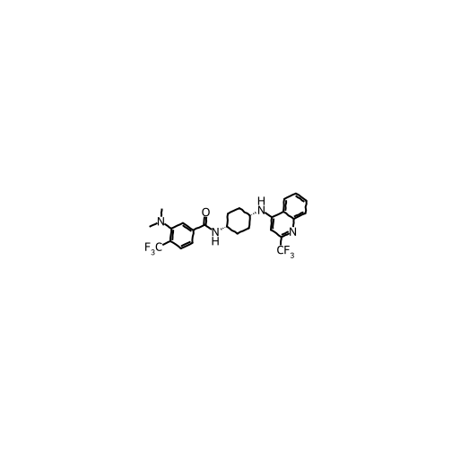 CN(C)c1cc(C(=O)N[C@H]2CC[C@@H](Nc3cc(C(F)(F)F)nc4ccccc34)CC2)ccc1C(F)(F)F